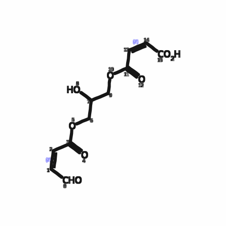 O=C/C=C\C(=O)OCC(O)COC(=O)/C=C\C(=O)O